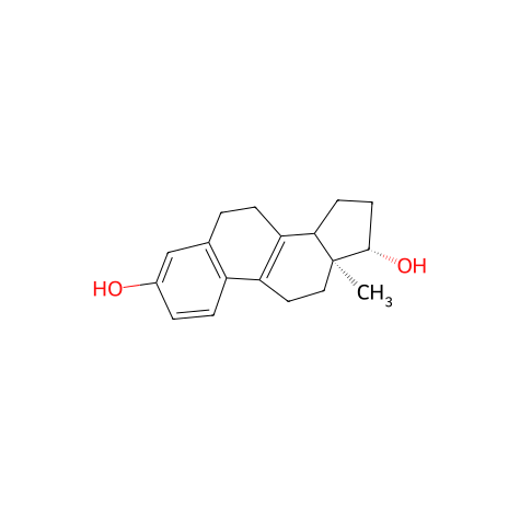 C[C@]12CCC3=C(CCc4cc(O)ccc43)C1CC[C@@H]2O